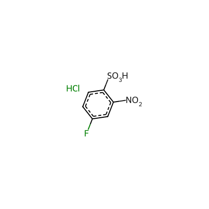 Cl.O=[N+]([O-])c1cc(F)ccc1S(=O)(=O)O